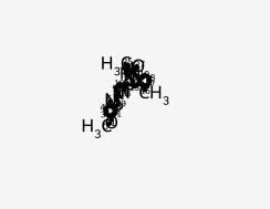 COc1ccc2nc(-n3ccc(OCc4c(C)cccc4-n4nnn(C)c4=O)n3)sc2c1